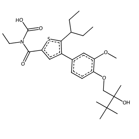 CCC(CC)c1sc(C(=O)N(CC)C(=O)O)cc1-c1ccc(OCC(C)(O)C(C)(C)C)c(OC)c1